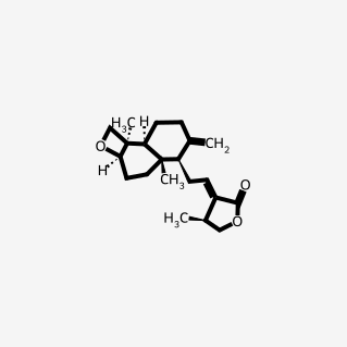 C=C1CC[C@@H]2[C@]3(C)CO[C@@H]3CC[C@@]2(C)[C@@H]1C/C=C1/C(=O)OC[C@H]1C